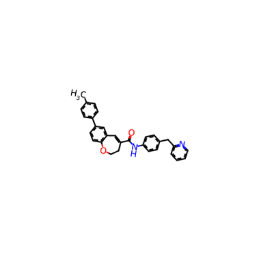 Cc1ccc(-c2ccc3c(c2)C=C(C(=O)Nc2ccc(Cc4ccccn4)cc2)CCO3)cc1